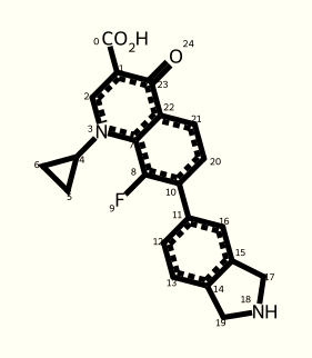 O=C(O)c1cn(C2CC2)c2c(F)c(-c3ccc4c(c3)CNC4)ccc2c1=O